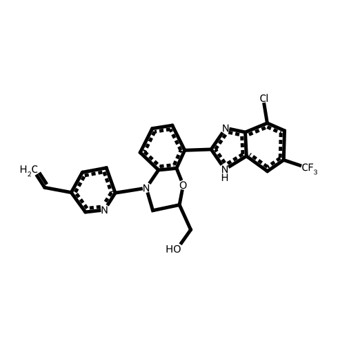 C=Cc1ccc(N2CC(CO)Oc3c(-c4nc5c(Cl)cc(C(F)(F)F)cc5[nH]4)cccc32)nc1